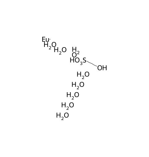 O.O.O.O.O.O.O.O.O=S(=O)(O)O.[Eu]